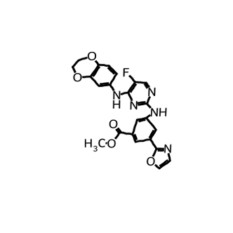 COC(=O)c1cc(Nc2ncc(F)c(Nc3ccc4c(c3)OCCO4)n2)cc(-c2ncco2)c1